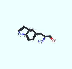 NC(C=O)Cc1ccc2[nH]ccc2c1